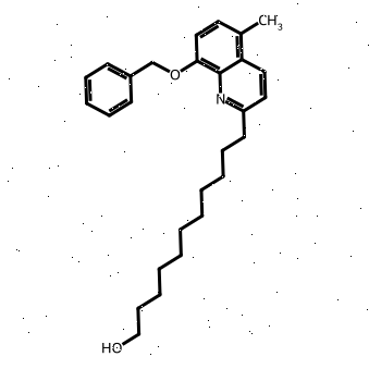 Cc1ccc(OCc2ccccc2)c2nc(CCCCCCCCCCCO)ccc12